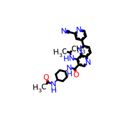 CC(=O)N[C@H]1CC[C@H](NC(=O)c2cnc3ccc(-c4ccnc(C#N)c4)nc3c2NC(C)C)CC1